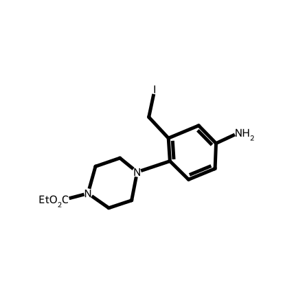 CCOC(=O)N1CCN(c2ccc(N)cc2CI)CC1